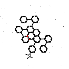 C[Si](C)(C)c1ccc(-c2cc(-c3ccccc3-c3ccccc3)c3ccc4c(-c5ccccc5-c5ccccc5)cc(-c5ccccc5-c5ccccc5)c5ccc2c3c54)cc1